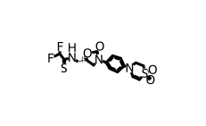 O=C1O[C@@H](CNC(=S)C(F)F)CN1c1ccc(N2C=CS(=O)(=O)CC2)cc1